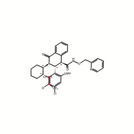 COc1cc(Cl)cc(Cl)c1[C@H]1[C@H](C(=O)NOCc2ccccn2)c2ccccc2C(=O)N1[C@@H]1CCCC[C@H]1N[S+](C)[O-]